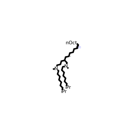 CCCCCCCC/C=C\CCC[CH]CC(CCCN(C)CCCCCCCC(C)C)CN(C)CCCCCCCC(C)C